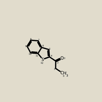 CCC(=O)c1cc2ccccc2s1